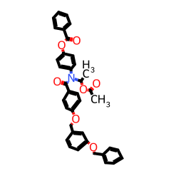 CC(=O)OC(C)N(C(=O)c1ccc(OCc2cccc(OCc3ccccc3)c2)cc1)c1ccc(OC(=O)c2ccccc2)cc1